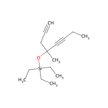 C#CCC(C)(C#CCC)O[Si](CC)(CC)CC